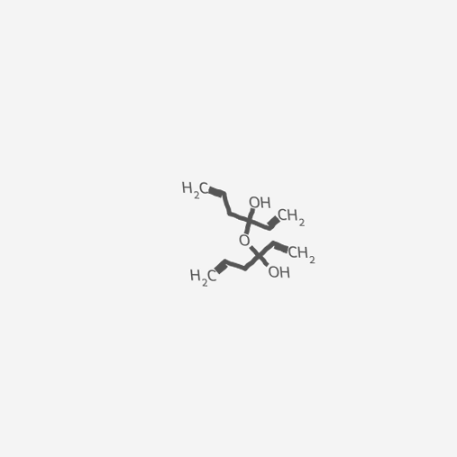 C=CCC(O)(C=C)OC(O)(C=C)CC=C